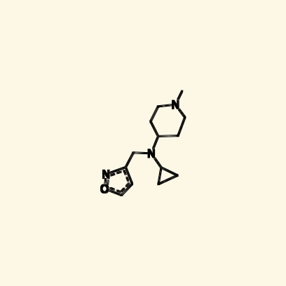 CN1CCC(N(Cc2ccon2)C2CC2)CC1